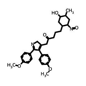 COc1ccc(C2=NCC(CC(=O)CCCC3CC(O)C(C)CC3N=O)=C2c2ccc(OC)cc2)cc1